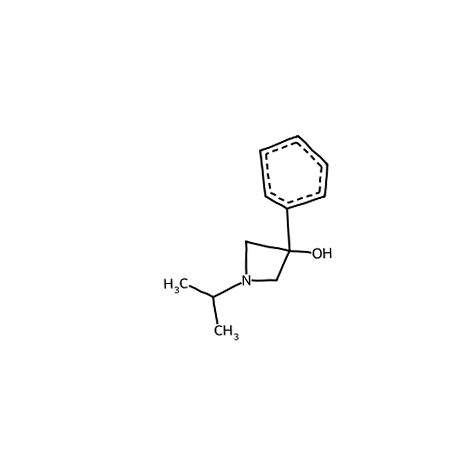 CC(C)N1CC(O)(c2ccccc2)C1